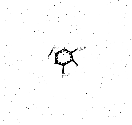 CCCCBr.Cc1c(C(=O)O)cccc1C(=O)O